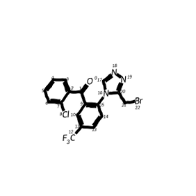 O=C(c1ccccc1Cl)c1cc(C(F)(F)F)ccc1-n1cnnc1CBr